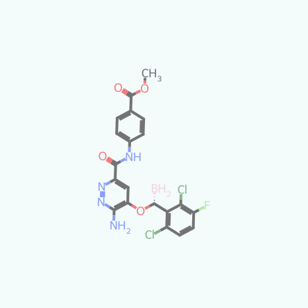 B[C@@H](Oc1cc(C(=O)Nc2ccc(C(=O)OC)cc2)nnc1N)c1c(Cl)ccc(F)c1Cl